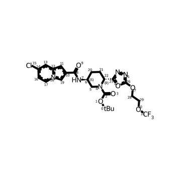 CC(C)(C)OC(=O)N1C[C@@H](NC(=O)c2cc3cc(Cl)ccn3c2)CC[C@@H]1c1nnc(OCCOC(F)(F)F)o1